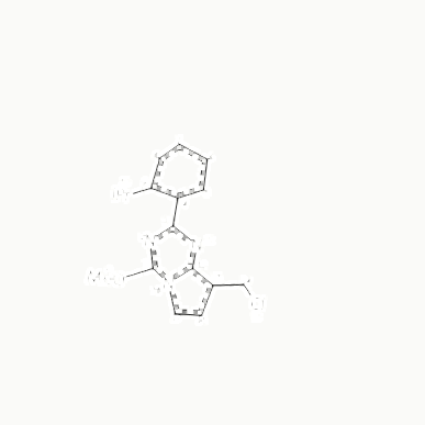 COc1nc(-c2ccccc2C(C)C)nc2c(CCl)ccn12